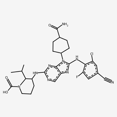 CC(C)C1C(Nc2ncc3nc(Nc4c(F)cc(C#N)cc4Cl)n(C4CCC(C(N)=O)CC4)c3n2)CCCN1C(=O)O